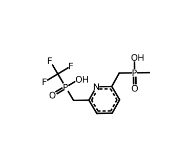 CP(=O)(O)Cc1cccc(CP(=O)(O)C(F)(F)F)n1